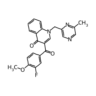 COc1ccc(C(=O)c2cn(Cc3cncc(C)n3)c3ccccc3c2=O)cc1F